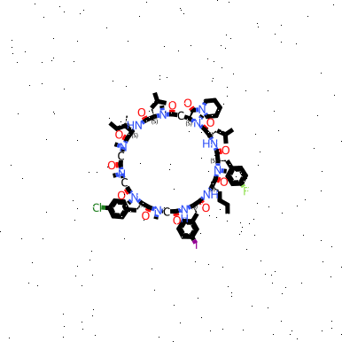 CCCC[C@@H]1NC(=O)[C@H](Cc2cccc(I)c2)NC(=O)CN(C)C(=O)[C@H](Cc2ccc(Cl)cc2)N(C)C(=O)CN(C)C(=O)CN(C)C(=O)[C@H]([C@@H](C)CC)NC(=O)[C@H](CC(C)C)N(C)C(=O)C[C@@H](C(=O)N2CCCCC2)N(C)C(=O)[C@H](CC(C)C)NC(=O)[C@H](Cc2ccc(F)cc2)N(C)C1=O